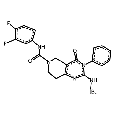 CC(C)(C)Nc1nc2c(c(=O)n1-c1ccccc1)CN(C(=O)Nc1ccc(F)c(F)c1)CC2